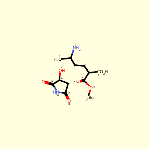 CC(N)CCC(C(=O)O)C(=O)OC(C)(C)C.O=C1CC(O)C(=O)N1